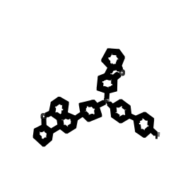 Fc1ccc(-c2ccc(N(c3ccc(-c4ccc5c6c(cccc46)Oc4ccccc4-5)cc3)c3ccc4c(c3)oc3ccccc34)cc2)cc1